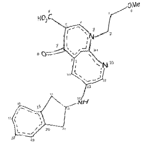 COCCn1cc(C(=O)O)c(=O)c2cc(NC3Cc4ccccc4C3)cnc21